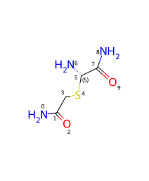 NC(=O)CS[C@H](N)C(N)=O